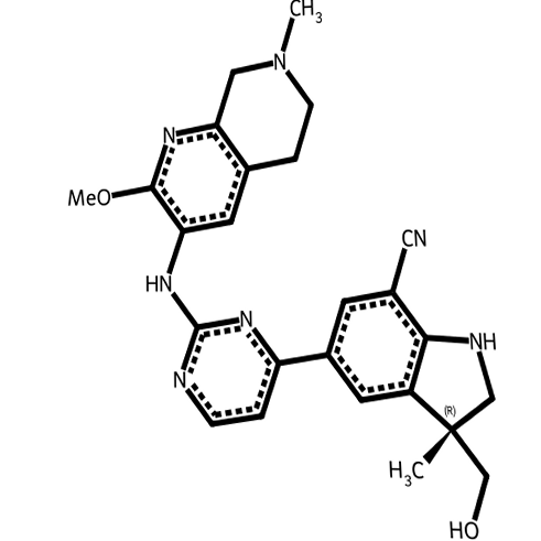 COc1nc2c(cc1Nc1nccc(-c3cc(C#N)c4c(c3)[C@@](C)(CO)CN4)n1)CCN(C)C2